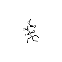 CC[N+](CC)(CC)S(=O)(=O)[NH+]([O-])C(=O)OC